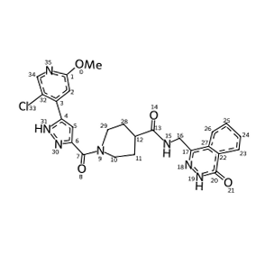 COc1cc(-c2cc(C(=O)N3CCC(C(=O)NCc4n[nH]c(=O)c5ccccc45)CC3)n[nH]2)c(Cl)cn1